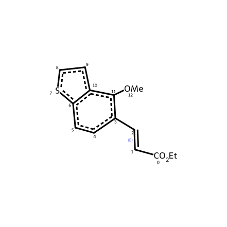 CCOC(=O)/C=C/c1ccc2sccc2c1OC